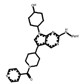 CCCC(C)Nc1ncc2c(C3CCN(C(=O)c4ccncc4)CC3)cn(C3CCC(O)CC3)c2n1